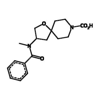 CN(C(=O)c1ccccc1)C1COC2(CCN(C(=O)O)CC2)C1